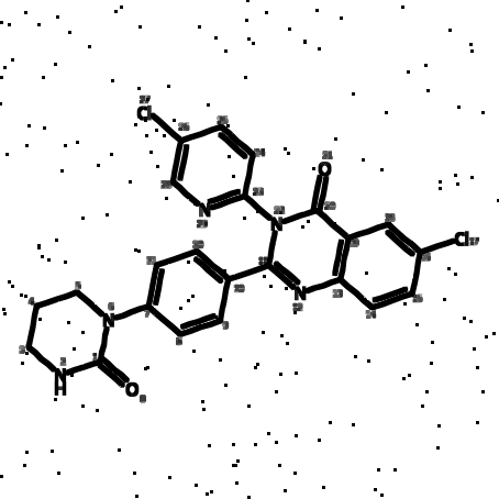 O=C1NCCCN1c1ccc(-c2nc3ccc(Cl)cc3c(=O)n2-c2ccc(Cl)cn2)cc1